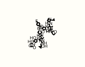 Cc1nc(NCC2(O)CC2)nc(N[C@@H]2C[C@H](CN3CCOCC3=O)[C@@H](O)[C@H]2O)c1-c1nc2c(O[C@@H]3[C@@H](CS(=O)(=O)c4ccc(F)cc4)C[C@@H](Nc4nc(NC5CCCOC5)nc(C)c4-c4nc5c(C6CC6)nccc5s4)[C@@H]3O)nccc2s1